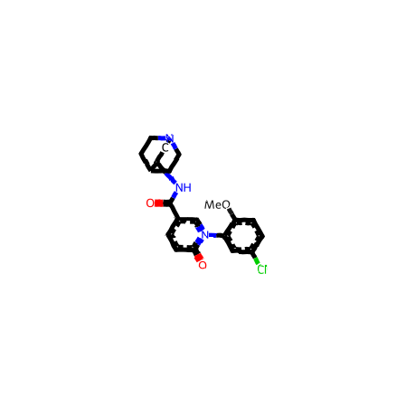 COc1ccc(Cl)cc1-n1cc(C(=O)NC2CN3CCC2CC3)ccc1=O